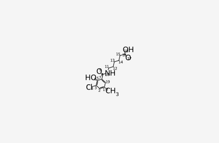 Cc1cc(Cl)c(O)c(C(=O)NCCCCCC(=O)O)c1